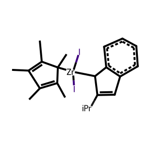 CC1=C(C)[C](C)([Zr]([I])([I])[CH]2C(C(C)C)=Cc3ccccc32)C(C)=C1C